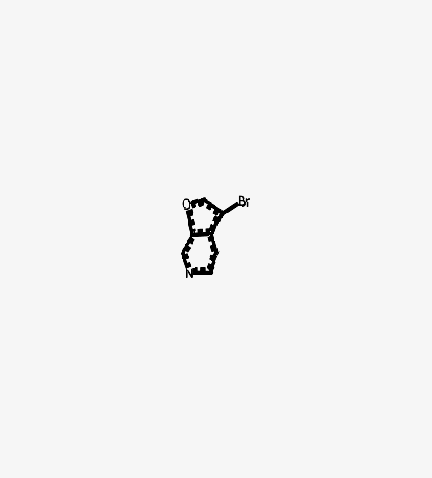 Brc1coc2cnccc12